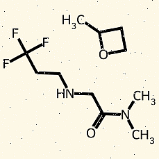 CC1CCO1.CN(C)C(=O)CNCCC(F)(F)F